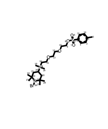 Cc1ccc(S(=O)(=O)OCCOCCOCC[N+](C)(C)C2CC(C)(C)N(Br)C(C)(C)C2)cc1